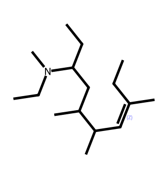 CC/C(C)=C\C(C)C(C)CC(CC)N(C)CC